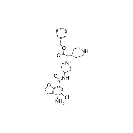 Nc1c(Cl)cc(C(=O)NC2CCN(C(C(=O)OCc3ccccc3)C3CCNCC3)CC2)c2c1CCO2